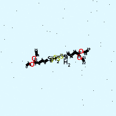 CCOC(CCC[SiH2]SSSS[SiH2]CCCC(OCC)OCC)OCC